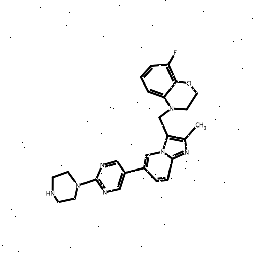 Cc1nc2ccc(-c3cnc(N4CCNCC4)nc3)cn2c1CN1CCOc2c(F)cccc21